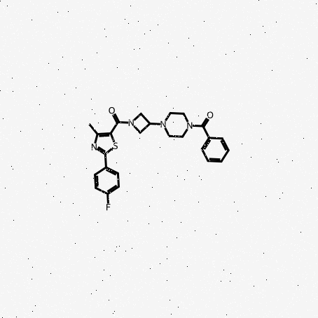 Cc1nc(-c2ccc(F)cc2)sc1C(=O)N1CC(N2CCN(C(=O)c3ccccc3)CC2)C1